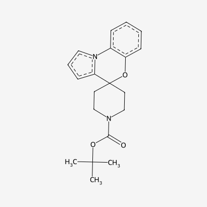 CC(C)(C)OC(=O)N1CCC2(CC1)Oc1ccccc1-n1cccc12